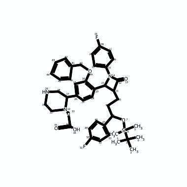 CC(C)(C)[Si](C)(C)OC(CCC1C(=O)N(c2ccc(F)cc2)C1c1ccc(C2CNCCN2OC(=O)O)cc1OCc1ccccc1)c1ccc(F)cc1